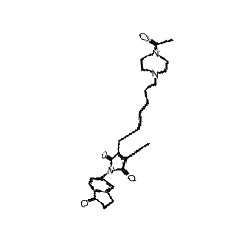 CC(=O)N1CCN(CCCCCCC2=C(C)C(=O)N(c3ccc4c(c3)CCC4=O)C2=O)CC1